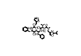 CC(C)c1nc(CN(C)C(=O)N[C@H](C(=O)N[C@@H](Cc2ccccc2)C[C@H](O)[C@H](Cc2ccccc2)NC(=O)OCc2ccns2)C(C)C)co1